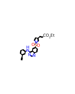 C#Cc1cccc(Nc2ncnc3ccc(S(=O)(=O)n4ccc(C=CC(=O)OCC)c4)cc23)c1